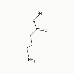 [2H]OC(=O)CCCN